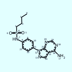 CCCCS(=O)(=O)Nc1ccc(-n2ncc3c(N)ncnc32)cc1